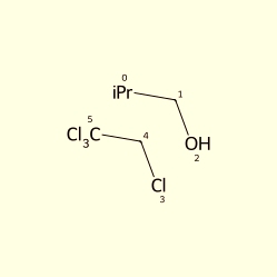 CC(C)CO.ClCC(Cl)(Cl)Cl